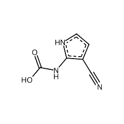 N#Cc1cc[nH]c1NC(=O)O